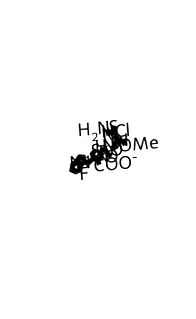 CO/N=C(\C(=O)N[C@@H]1C(=O)N2C(C(=O)[O-])=C(Cn3cc[n+]4cccc(F)c34)CS[C@H]12)c1nc(N)sc1Cl